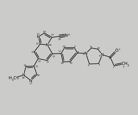 C=CC(=O)N1CCN(c2ccc(-c3cc(-c4cnn(C)c4)cc4ncc(C#N)n34)cc2)CC1